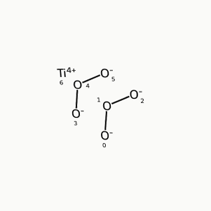 [O-]O[O-].[O-]O[O-].[Ti+4]